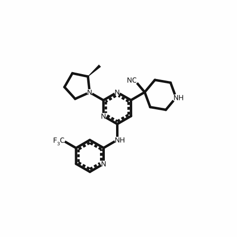 C[C@@H]1CCCN1c1nc(Nc2cc(C(F)(F)F)ccn2)cc(C2(C#N)CCNCC2)n1